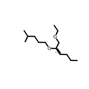 CCC/C=C(\COCC)OCCCC(C)C